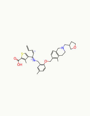 C=C/C=C\C(=N/Cc1cc(C)ccc1OCc1ccc2c(c1C)CCN(CC1CCOC1)C2)c1csc(C(=O)O)c1C